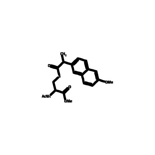 COC(=O)C(CSC(=O)C(C)c1ccc2cc(OC)ccc2c1)NC(C)=O